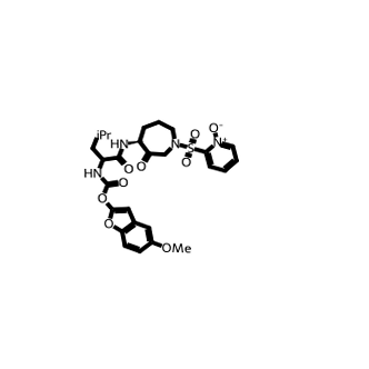 COc1ccc2oc(OC(=O)NC(CC(C)C)C(=O)N[C@H]3CCCN(S(=O)(=O)c4cccc[n+]4[O-])CC3=O)cc2c1